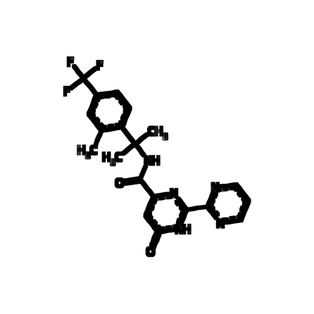 Cc1cc(C(F)(F)F)ccc1C(C)(C)NC(=O)c1cc(=O)[nH]c(-c2ncccn2)n1